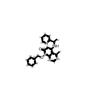 Cc1ncnc2c1c(NC(C)c1ccccn1)cc(=O)n2OCc1ccccc1